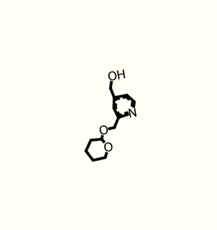 OCc1ccnc(COC2CCCCO2)c1